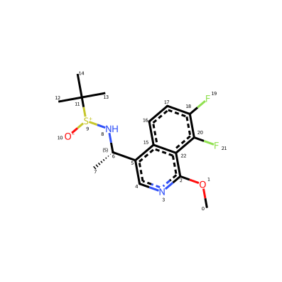 COc1ncc([C@H](C)N[S+]([O-])C(C)(C)C)c2ccc(F)c(F)c12